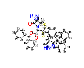 N[C@@H]1C(=O)N2C(C(=O)OC(c3ccccc3)c3ccccc3)=C(SCc3c[nH]nc3C(c3ccccc3)(c3ccccc3)c3ccccc3)CS[C@@H]12